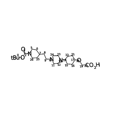 CC(C)(C)OC(=O)N1CCC(CCN2CCN(C3CCC(OCC(=O)O)CC3)CC2)CC1